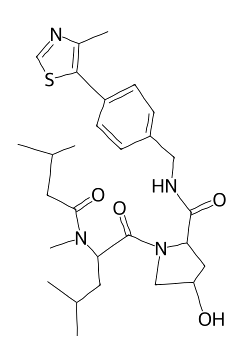 Cc1ncsc1-c1ccc(CNC(=O)C2CC(O)CN2C(=O)C(CC(C)C)N(C)C(=O)CC(C)C)cc1